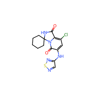 O=C1NC2(CCCCC2)n2c1c(Cl)cc(Nc1cnsn1)c2=O